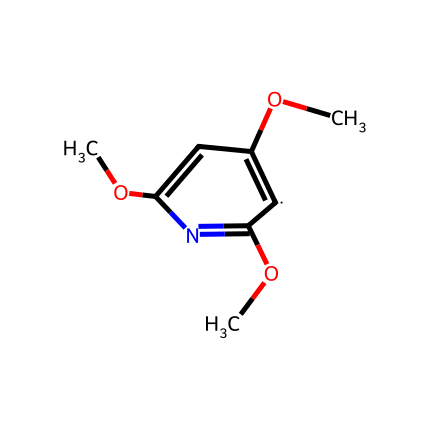 COc1[c]c(OC)nc(OC)c1